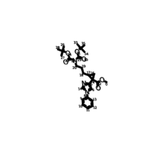 COC(=O)C1(c2cn(-c3ccccc3)cn2)CC1CCCN(C(=O)OC(C)(C)C)C(=O)OC(C)(C)C